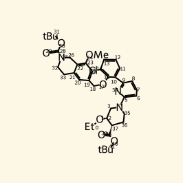 CCO[C@H]1CN(c2cccc(-c3cccc(Cl)c3OCc3cc4c(c(OC)c3)CN(C(=O)OC(C)(C)C)CC4)n2)CC[C@H]1C(=O)OC(C)(C)C